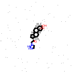 C[C@@]1(O)CC[C@@]2(CO)[C@@H](CC[C@H]3[C@@H]4CC[C@H](C(=O)CN5CCNN5)[C@@]4(C)CC[C@@H]32)C1